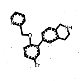 CCc1ccc(OCc2ccccn2)c(-c2ccc3c(c2)CCNC3)c1